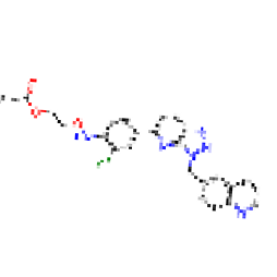 CC(C)(C)C(=O)OCCONc1ccc(-c2ccc3nnn(Cc4ccc5ncccc5c4)c3n2)cc1Cl